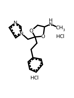 CNC1COC(CCc2ccccc2)(Cn2ccnc2)O1.Cl.Cl